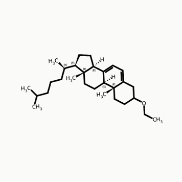 CCOC1CC[C@@]2(C)C(=CC=C3[C@@H]4CC[C@H]([C@H](C)CCCC(C)C)[C@@]4(C)CC[C@@H]32)C1